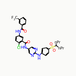 CCCC(CCC)S(=O)(=O)c1ccc(Nc2ncc(NC(=O)c3cc(NC(=O)c4cccc(C(F)(F)F)c4)ccc3Cl)cn2)cc1